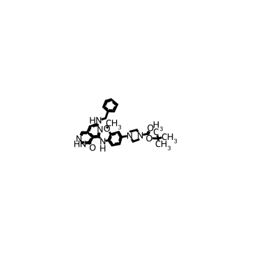 COc1cc(N2CCN(C(=O)OC(C)(C)C)CC2)ccc1Nc1nc(NCc2ccccc2)cc2cn[nH]c(=O)c12